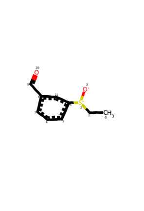 CC[S+]([O-])c1cccc(C=O)c1